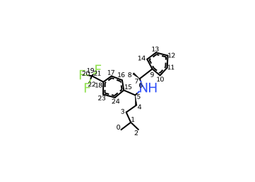 CC(C)CC[C@H](N[C@@H](C)c1ccccc1)c1ccc(C(F)(F)F)cc1